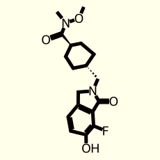 CON(C)C(=O)[C@H]1CC[C@H](CN2Cc3ccc(O)c(F)c3C2=O)CC1